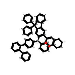 c1ccc(-c2ccccc2-c2ccc(N(c3ccccc3)c3cc4c(cc3-c3ccc5c(c3)CCCC5)-c3ccccc3C4(c3ccccc3)c3ccccc3)cc2)cc1